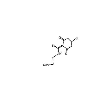 CCC(NCCSC)=C1C(=O)CC(CC)CC1=O